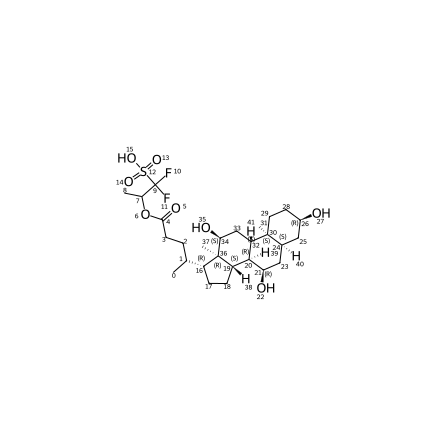 CC(CCC(=O)OC(C)C(F)(F)S(=O)(=O)O)[C@H]1CC[C@H]2[C@@H]3[C@H](O)C[C@@H]4C[C@H](O)CC[C@]4(C)[C@H]3C[C@H](O)[C@]12C